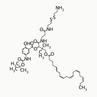 CC/C=C\C/C=C\C/C=C\C/C=C\C/C=C/CCCC(=O)OCC(C)(C)[C@@H](OC(=O)c1cc(NC(=O)OC(C)(C)C)ccc1O)C(=O)NCCC(=O)NCCSSCCN